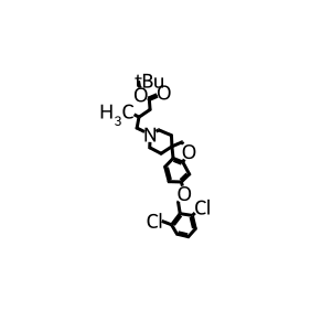 CC(CC(=O)OC(C)(C)C)CN1CCC2(CC1)COc1cc(OCc3c(Cl)cccc3Cl)ccc12